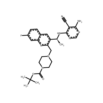 C[C@H](Nc1ncnc(N)c1C#N)c1cc2ccc(F)cc2nc1CN1CCN(C(=O)OC(C)(C)C)CC1